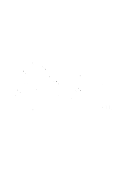 CCC(=O)N1CCN(c2ncnc(N)c2C=O)CC1